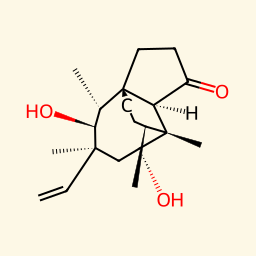 C=C[C@]1(C)C[C@@H](O)[C@]2(C)[C@H](C)CC[C@]3(CCC(=O)[C@H]32)[C@@H](C)[C@@H]1O